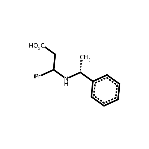 CC(C)C(CC(=O)O)N[C@H](C)c1ccccc1